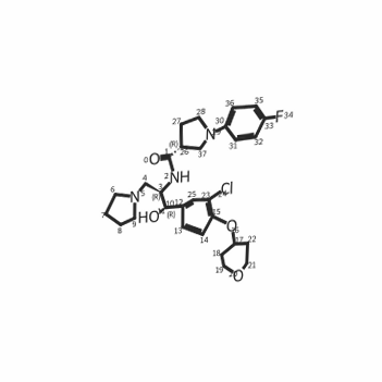 O=C(N[C@H](CN1CCCC1)[C@H](O)c1ccc(OC2CCOCC2)c(Cl)c1)[C@@H]1CCN(c2ccc(F)cc2)C1